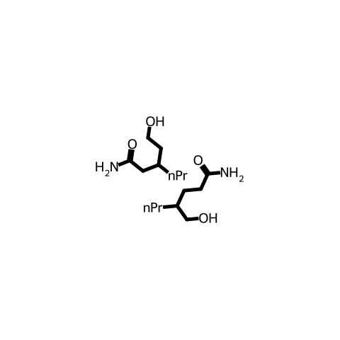 CCCC(CCO)CC(N)=O.CCCC(CO)CCC(N)=O